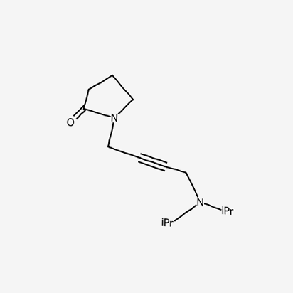 CC(C)N(CC#CCN1CCCC1=O)C(C)C